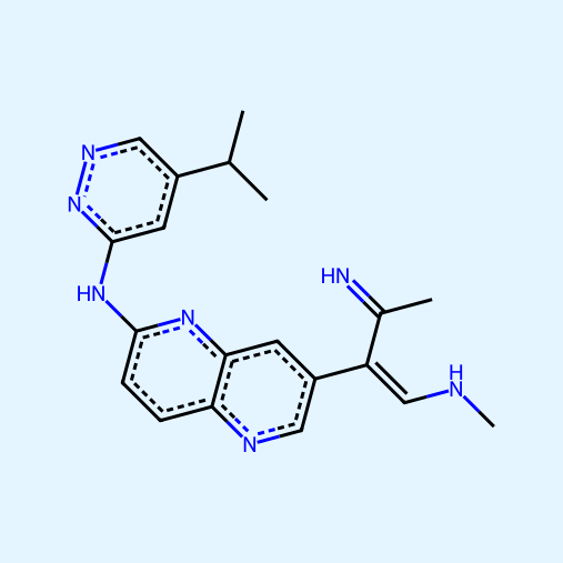 CN/C=C(\C(C)=N)c1cnc2ccc(Nc3cc(C(C)C)cnn3)nc2c1